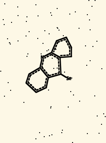 [Se]c1c2ccccc2nc2ccccc12